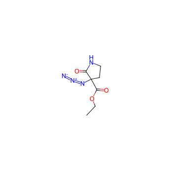 CCOC(=O)C1(N=[N+]=[N-])CCNC1=O